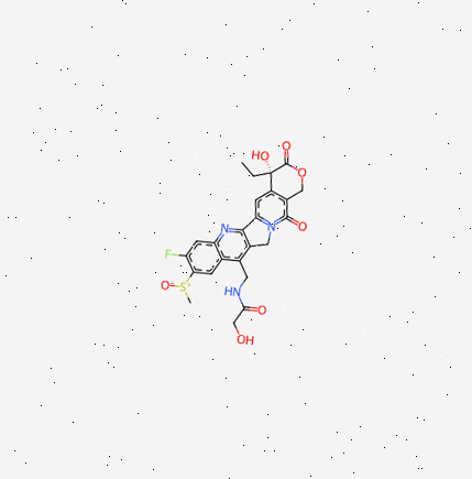 CC[C@@]1(O)C(=O)OCc2c1cc1n(c2=O)Cc2c-1nc1cc(F)c([S+](C)[O-])cc1c2CNC(=O)CO